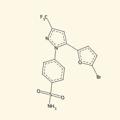 NS(=O)(=O)c1ccc(-n2nc(C(F)(F)F)cc2-c2ccc(Br)o2)cc1